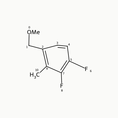 COCc1ccc(F)c(F)c1C